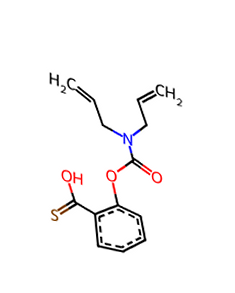 C=CCN(CC=C)C(=O)Oc1ccccc1C(O)=S